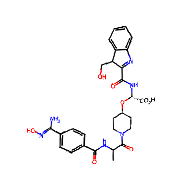 CC(NC(=O)c1ccc(/C(N)=N/O)cc1)C(=O)N1CCC(O[C@H](NC(=O)C2=Nc3ccccc3C2CO)C(=O)O)CC1